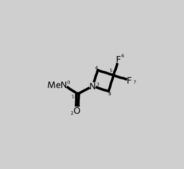 CNC(=O)N1CC(F)(F)C1